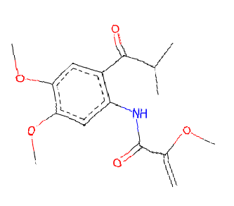 C=C(OC)C(=O)Nc1cc(OC)c(OC)cc1C(=O)C(C)C